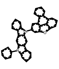 c1ccc(-n2c3ccccc3c3cc4c(cc32)c2ccccc2n4-c2cc3oc4cccc5c6ccccc6c(c2)c3c45)cc1